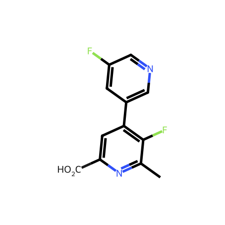 Cc1nc(C(=O)O)cc(-c2cncc(F)c2)c1F